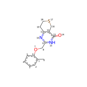 Cc1ccccc1OCc1nc2c(c(=O)[nH]1)CSCC2